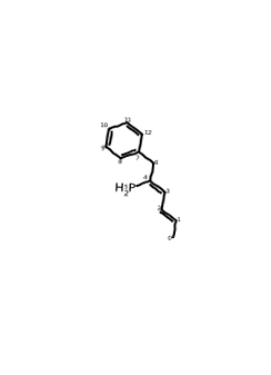 CC=CC=C(P)Cc1ccccc1